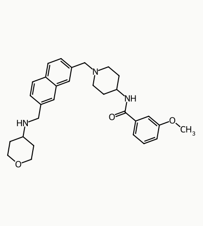 COc1cccc(C(=O)NC2CCN(Cc3ccc4ccc(CNC5CCOCC5)cc4c3)CC2)c1